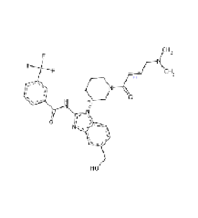 CN(C)C/C=C/C(=O)N1CCC[C@@H](n2c(NC(=O)c3cccc(C(F)(F)F)c3)nc3cc(CO)ccc32)C1